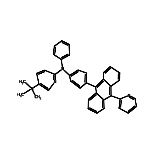 C[Si](C)(C)c1ccc(N(c2ccccc2)c2ccc(-c3c4ccccc4c(-c4ccccn4)c4ccccc34)cc2)nc1